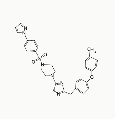 Cc1ccc(Oc2ccc(Cc3nsc(N4CCN(S(=O)(=O)c5ccc(-n6cccn6)cc5)CC4)n3)cc2)cc1